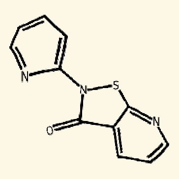 O=c1c2cccnc2sn1-c1ccccn1